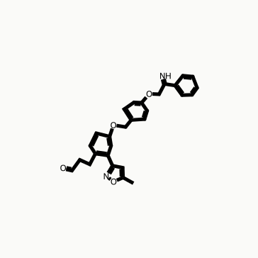 Cc1cc(-c2cc(OCc3ccc(OCC(=N)c4ccccc4)cc3)ccc2CCC=O)no1